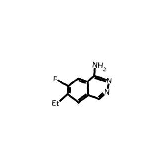 CCc1cc2cnnc(N)c2cc1F